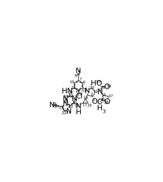 CO[C@@H]1CN(c2cc(C#N)cc(Nc3nc(NC4CC4)c4ncc(C#N)n4n3)c2Cl)C[C@@H]1N(C(=O)O)C1COC1